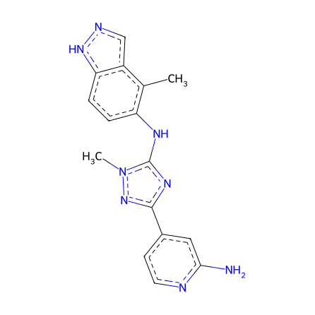 Cc1c(Nc2nc(-c3ccnc(N)c3)nn2C)ccc2[nH]ncc12